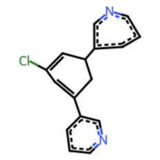 ClC1=CC(c2cccnc2)CC(c2cccnc2)=C1